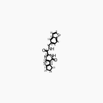 O=C(NCc1ccc2sccc2c1)c1nc2sc3c(c2c(=O)[nH]1)CCC3